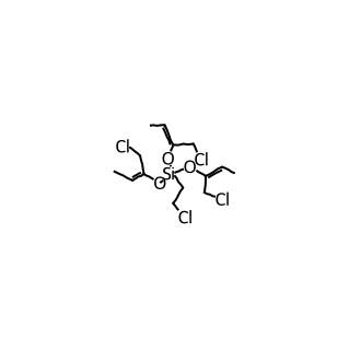 CC=C(CCl)O[Si](CCCl)(OC(=CC)CCl)OC(=CC)CCl